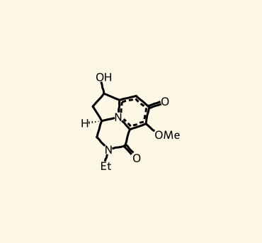 CCN1C[C@H]2CC(O)c3cc(=O)c(OC)c(n32)C1=O